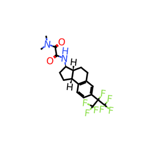 CN(C)C(=O)C(=O)N[C@@H]1CC[C@H]2c3ccc(C(F)(C(F)(F)F)C(F)(F)F)cc3CC[C@@H]12